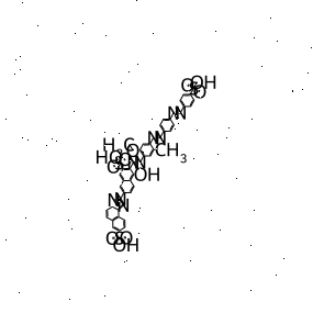 COc1cc(N=Nc2ccc(N=Nc3ccc(S(=O)(=O)O)cc3)cc2)c(C)cc1N=Nc1c(S(=O)(=O)O)cc2cc(-n3nc4ccc5cc(S(=O)(=O)O)ccc5c4n3)ccc2c1O